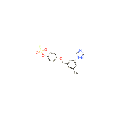 N#Cc1cc(COc2ccc(OS(=O)(=O)F)cc2)cc(-n2cncn2)c1